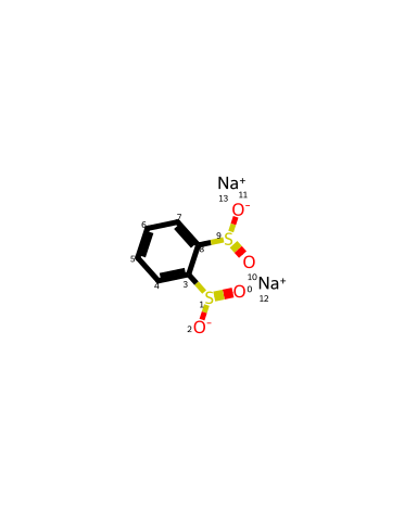 O=S([O-])c1ccccc1S(=O)[O-].[Na+].[Na+]